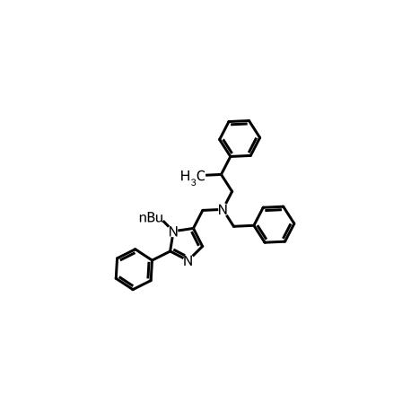 CCCCn1c(CN(Cc2ccccc2)CC(C)c2ccccc2)cnc1-c1ccccc1